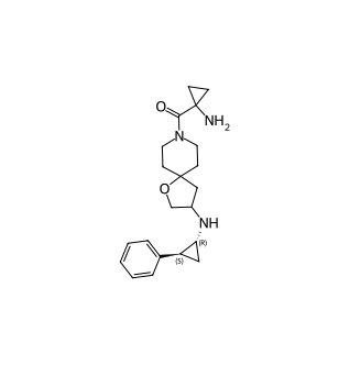 NC1(C(=O)N2CCC3(CC2)CC(N[C@@H]2C[C@H]2c2ccccc2)CO3)CC1